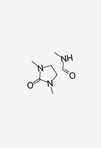 CN1CCN(C)C1=O.CNC=O